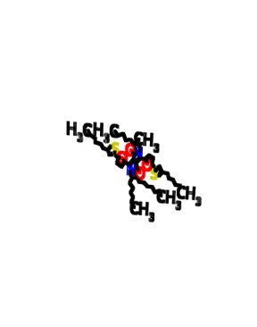 CCCCCCCCC(CCCCCC)CN1C(=O)C2=C(c3ccc(-c4cc(CCCCCC)cs4)o3)N(CC(C)CCCCCC)C(=O)C2=C1C1CC=C(C2=CC(CCCCCC)CS2)O1